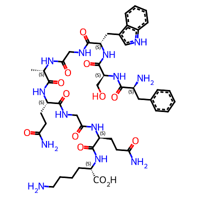 C[C@H](NC(=O)CNC(=O)[C@H](Cc1c[nH]c2ccccc12)NC(=O)[C@H](CO)NC(=O)[C@@H](N)Cc1ccccc1)C(=O)N[C@@H](CCC(N)=O)C(=O)NCC(=O)N[C@@H](CCC(N)=O)C(=O)N[C@@H](CCCCN)C(=O)O